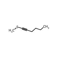 CCCCC#CSC